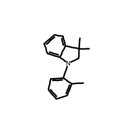 Cc1ccccc1N1CC(C)(C)c2ccccc21